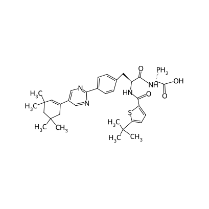 CC1(C)C=C(c2cnc(-c3ccc(C[C@H](NC(=O)c4ccc(C(C)(C)C)s4)C(=O)N[C@H](P)C(=O)O)cc3)nc2)CC(C)(C)C1